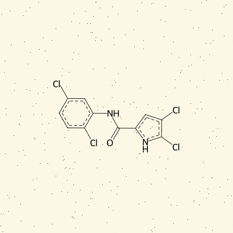 O=C(Nc1cc(Cl)ccc1Cl)c1cc(Cl)c(Cl)[nH]1